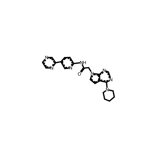 O=C(Cn1ccc2c(N3CCCCC3)ncnc21)Nc1ccc(-c2cnccn2)cn1